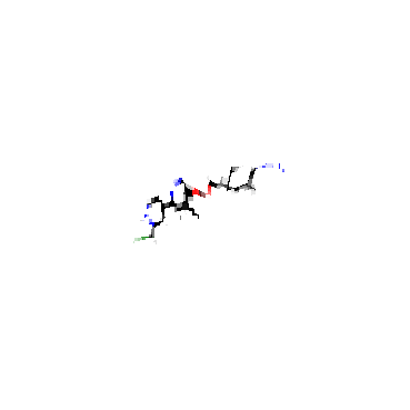 Cc1cc(-c2ccnc(C(F)F)c2)ncc1OCC(C)CC(C)CN